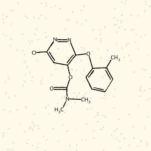 Cc1ccccc1Oc1nnc(Cl)cc1OC(=O)N(C)C